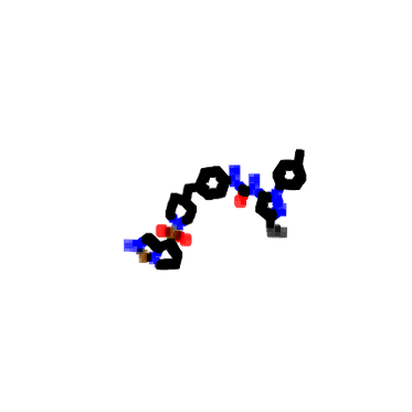 Cc1ccc(-n2nc(C(C)(C)C)cc2NC(=O)Nc2ccc(CC3CCN(S(=O)(=O)C4=CC=CN5SNC=C45)CC3)cc2)cc1